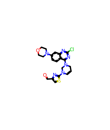 O=Cc1csc(N2C=CCN(c3nc(Cl)nc4cc(N5CCOCC5)ccc34)C2)n1